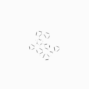 c1ccc(-c2nc(-c3ccccc3-c3ccc4c(c3)oc3ccc5oc(-c6ccccc6)nc5c34)nc(-c3cccc4oc5ccccc5c34)n2)cc1